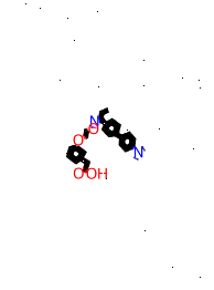 CCC(=NOCCOc1cccc(CC(=O)O)c1)c1ccc(-c2ccc(N(C)C)cc2)cc1